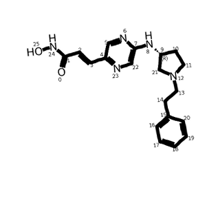 O=C(C=Cc1cnc(N[C@@H]2CCN(CCc3ccccc3)C2)cn1)NO